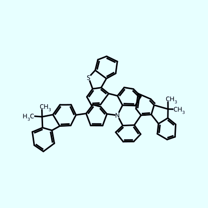 CC1(C)c2ccccc2-c2cc(-c3ccc(N(c4ccccc4-c4cccc5c4-c4ccccc4C5(C)C)c4ccccc4-c4cccc5sc6ccccc6c45)cc3)ccc21